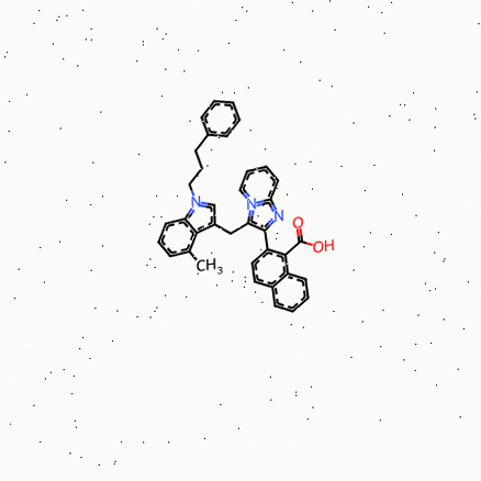 Cc1cccc2c1c(Cc1c(-c3ccc4ccccc4c3C(=O)O)nc3ccccn13)cn2CCCc1ccccc1